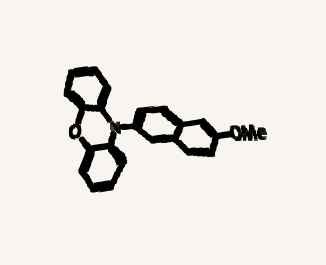 COc1ccc2cc(N3c4ccccc4Oc4ccccc43)ccc2c1